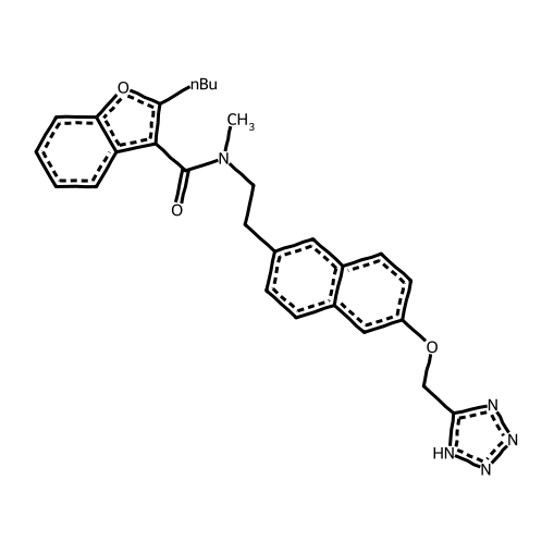 CCCCc1oc2ccccc2c1C(=O)N(C)CCc1ccc2cc(OCc3nnn[nH]3)ccc2c1